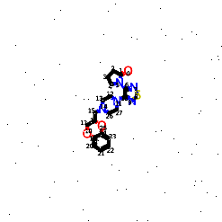 O=C1CCCN1c1nsnc1N1CCN(CC2COc3ccccc3O2)CC1